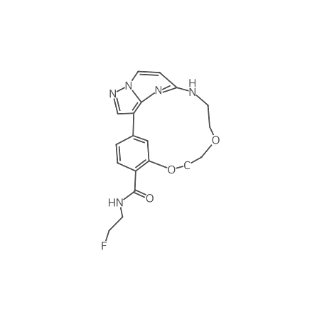 O=C(NCCF)c1ccc2cc1OCCOCCNc1ccn3ncc-2c3n1